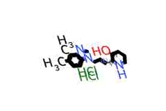 Cc1ccc2c(ncn2C/C=C/[C@H]2NCCC[C@@H]2O)c1C.Cl.Cl